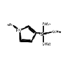 CCC[SH]1C=CC([Si](OC)(OC)OC)=C1